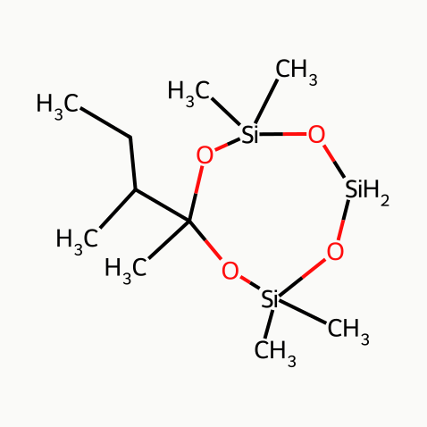 CCC(C)C1(C)O[Si](C)(C)O[SiH2]O[Si](C)(C)O1